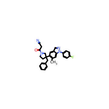 Cc1cc2c(cnn2-c2ccc(F)cc2)cc1C1(Cc2ccccc2)CCN(C(=O)CC#N)C1